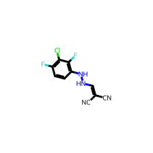 N#CC(C#N)=CNNc1ccc(F)c(Cl)c1F